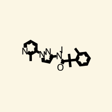 Cc1ccccc1C(C)(C)C(=O)N(I)c1ccn(-c2cccnc2C)n1